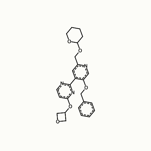 c1ccc(COc2cnc(COC3CCCCO3)cc2-c2nccc(OC3COC3)n2)cc1